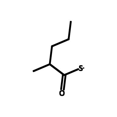 CCCC(C)C(=O)[S]